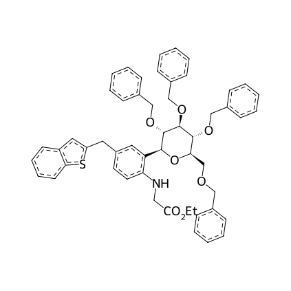 CCOC(=O)CNc1ccc(Cc2cc3ccccc3s2)cc1[C@@H]1O[C@H](COCc2ccccc2)[C@@H](OCc2ccccc2)[C@H](OCc2ccccc2)[C@H]1OCc1ccccc1